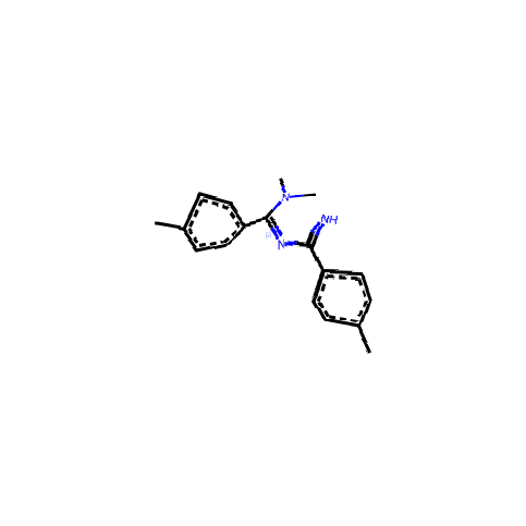 Cc1ccc(C(=N)/N=C(/c2ccc(C)cc2)N(C)C)cc1